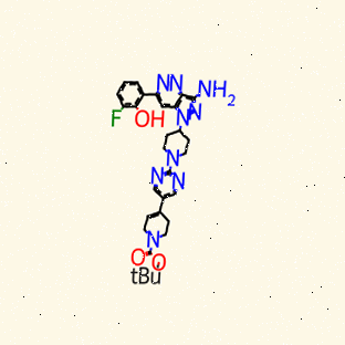 CC(C)(C)OC(=O)N1CC=C(c2cnc(N3CCC(n4nc(N)c5nnc(-c6cccc(F)c6O)cc54)CC3)nc2)CC1